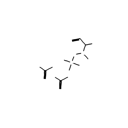 C=C(C)C(=O)O.C=C(C)C(=O)O.C=CC(O)[SiH](C)O[Si](C)(C)C